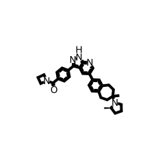 C[C@@H]1CCCN1C1(C)CCc2ccc(-c3cnc4[nH]nc(-c5ccc(C(=O)N6CCC6)cc5)c4c3)cc2CC1